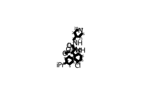 COP(=O)(c1cccc(C(C)C)c1)C1c2cc(Cl)ccc2NC1C(=O)NCc1ccncc1